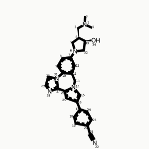 CN(C)C[C@@H]1CN(c2ccc3c(c2)Cn2cc(-c4ccc(C#N)cc4)cc2-c2nccn2-3)C[C@@H]1O